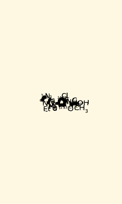 CCN(c1cnccn1)S(=O)(=O)c1ccc(NC(=O)[C@@](C)(O)C(F)(F)F)c(Cl)c1